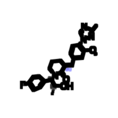 COc1cc(/C=C2\CCCN([C@H](c3ccc(F)cc3)[C@@H](C)O)C2=O)ccc1-n1cnc(C)n1